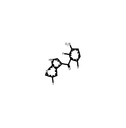 O=C(c1c(F)ccc([N+](=O)[O-])c1F)c1c[nH]c2ncc(I)cc12